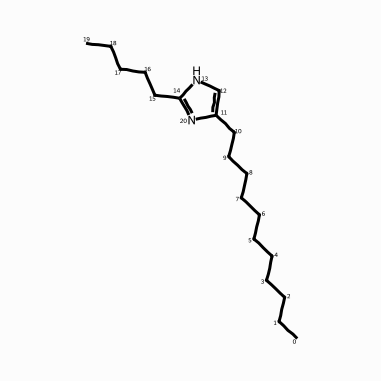 CCCCCCCCCCCc1c[nH]c(CCCCC)n1